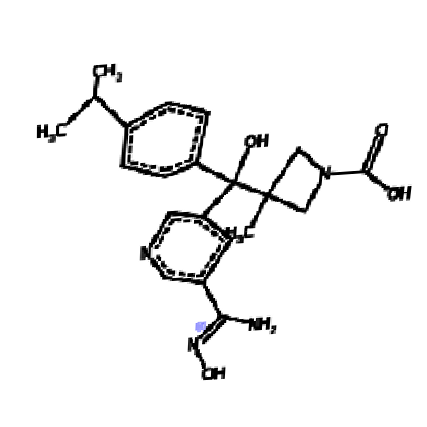 CC(C)c1ccc(C(O)(c2cncc(/C(N)=N/O)c2)C2(C)CN(C(=O)O)C2)cc1